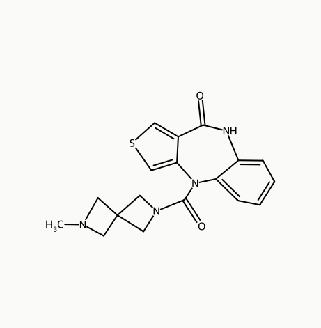 CN1CC2(C1)CN(C(=O)N1c3ccccc3NC(=O)c3cscc31)C2